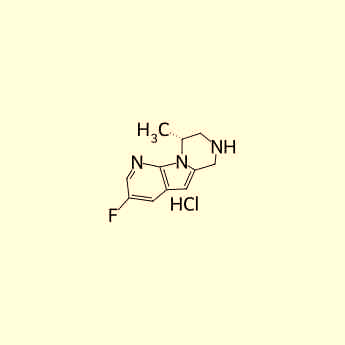 C[C@@H]1CNCc2cc3cc(F)cnc3n21.Cl